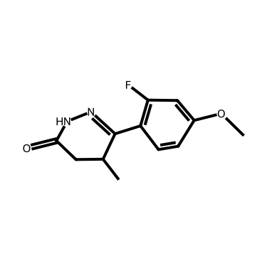 COc1ccc(C2=NNC(=O)CC2C)c(F)c1